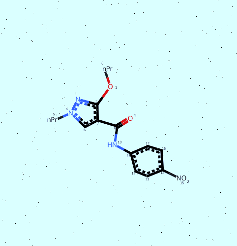 CCCOc1nn(CCC)cc1C(=O)Nc1ccc([N+](=O)[O-])cc1